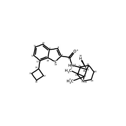 CC1(C)[C@H](NC(=O)c2cc3cccc(C4CCC4)c3s2)C2CCN1CC2